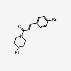 CCN1CCN(C(=O)/C=C/c2ccc(Br)cc2)CC1